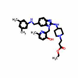 CCOC(=O)CCN1CCC(Nc2nc3ccc(CNc4cc(C)cc(C)c4)cc3n2Cc2nc(C)ccc2O)CC1